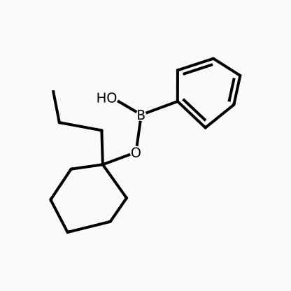 CCCC1(OB(O)c2ccccc2)CCCCC1